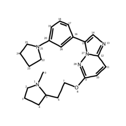 CN1CCCC1CCOc1ccc2ncc(-c3cccc(N4CCCC4)c3)n2n1